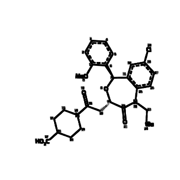 COc1ccccc1[C@@H]1O[C@@H](CC(=O)N2CCC(C(=O)O)CC2)C(=O)N(CC(C)(C)C)c2ccc(Cl)cc21